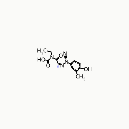 CCN(C(=O)O)C(=O)/C=N\N(C#N)c1ccc(O)c(C)c1